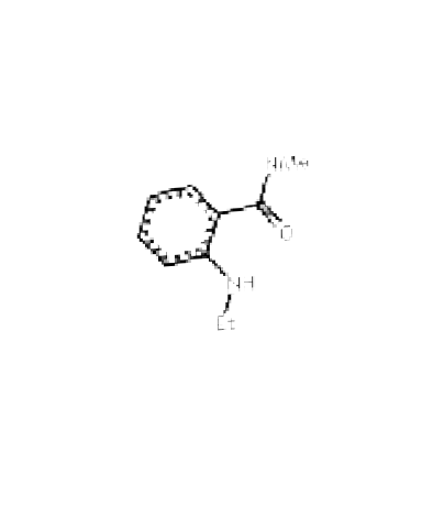 CCNc1ccccc1C(=O)NC